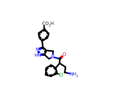 NCCC(C(=O)N1Cc2[nH]nc(-c3ccc(C(=O)O)cc3)c2C1)c1ccccc1Cl